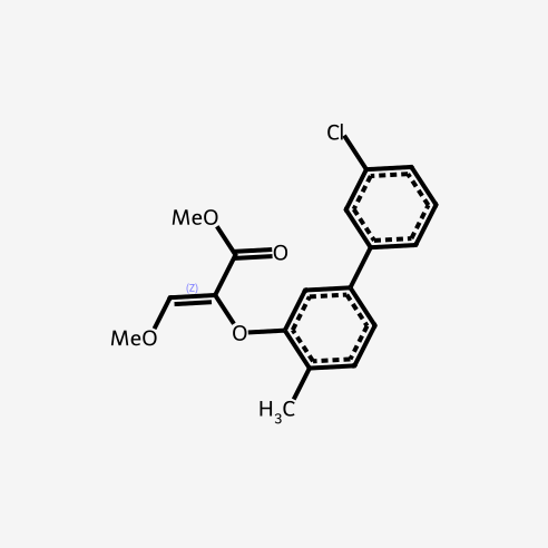 CO/C=C(\Oc1cc(-c2cccc(Cl)c2)ccc1C)C(=O)OC